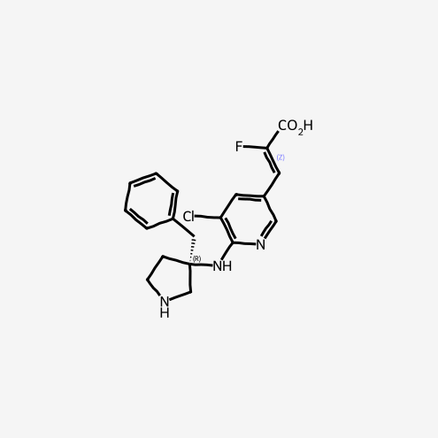 O=C(O)/C(F)=C/c1cnc(N[C@]2(Cc3ccccc3)CCNC2)c(Cl)c1